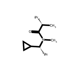 CC(C)[C@H](C1CC1)N(C)C(=O)[C@@H](C)C(C)C